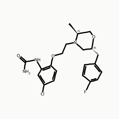 C[C@H]1CO[C@H](Cc2ccc(F)cc2)CN1CCOc1ccc(Cl)cc1NC(N)=O